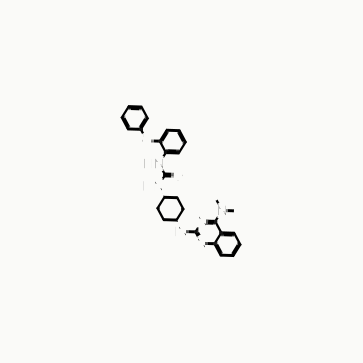 CN(C)c1nc(N[C@H]2CC[C@@H](NC(=O)Nc3ccccc3Oc3ccccc3)CC2)nc2ccccc12